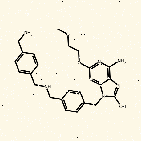 COCCOc1nc(N)c2nc(O)n(Cc3ccc(CNCc4ccc(CN)cc4)cc3)c2n1